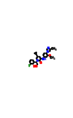 COc1cc(Nc2cc(C3CC3)cn([C@@H](CO)c3cccc(F)c3)c2=O)ccc1-n1cnc(C)c1